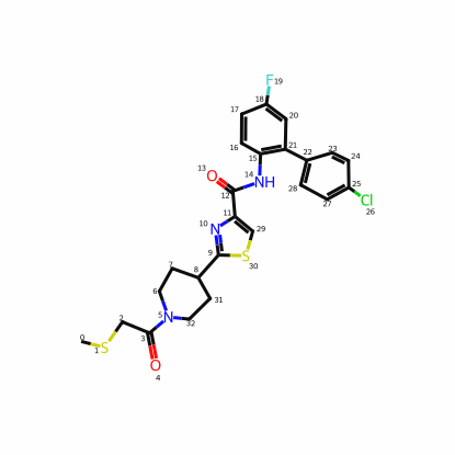 CSCC(=O)N1CCC(c2nc(C(=O)Nc3ccc(F)cc3-c3ccc(Cl)cc3)cs2)CC1